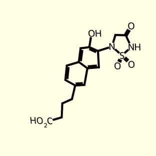 O=C(O)CCCc1ccc2cc(O)c(N3CC(=O)NS3(=O)=O)cc2c1